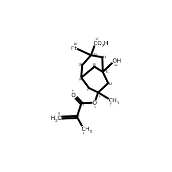 C=C(C)C(=O)OC1(C)CC2CC(O)(C1)CC(CC)(C(=O)O)C2